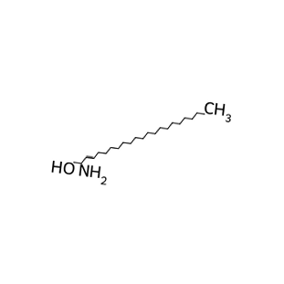 CCCCCCCCCCCCCCCCCCC/C=C/C(N)CO